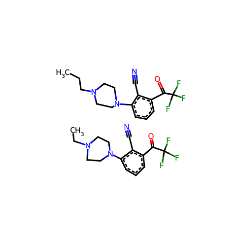 CCCN1CCN(c2cccc(C(=O)C(F)(F)F)c2C#N)CC1.CCN1CCN(c2cccc(C(=O)C(F)(F)F)c2C#N)CC1